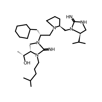 CC(C)CCCN1C(=N)N([C@H](CC2CCCCC2)CN2CCC[C@H]2CN2C(=N)NC[C@H]2C(C)C)C[C@H]1[C@@H](C)O